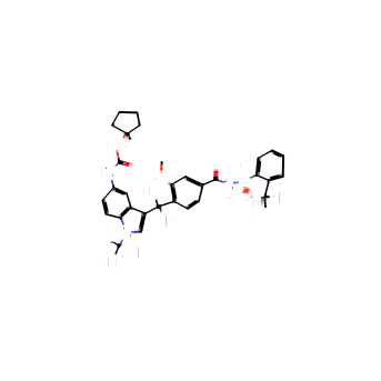 [2H]C1(OC(=O)Nc2ccc3c(c2)c(C([2H])([2H])c2ccc(C(=O)NS(=O)(=O)c4ccccc4C([2H])([2H])[2H])cc2OC)cn3C([2H])([2H])[2H])CCCC1